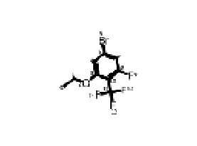 CCOc1cc(Br)cc(F)c1C(F)(F)F